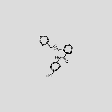 CCCc1ccc(NC(=O)c2ccccc2NSCc2ccccc2)cc1